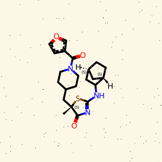 C[C@@]1(CC2CCN(C(=O)c3ccoc3)CC2)SC(NC2C[C@H]3CC[C@H]2C3)=NC1=O